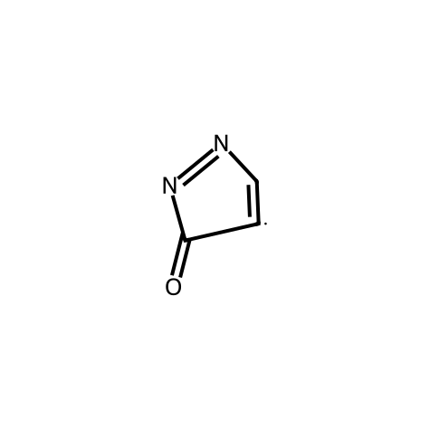 O=C1[C]=CN=N1